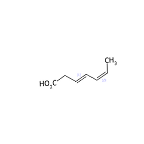 C/C=C\C=C\CC(=O)O